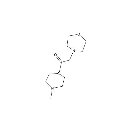 CN1CCN(C(=O)CN2CCOCC2)CC1